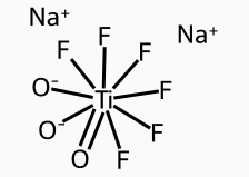 [Na+].[Na+].[O]=[Ti]([O-])([O-])([F])([F])([F])([F])([F])[F]